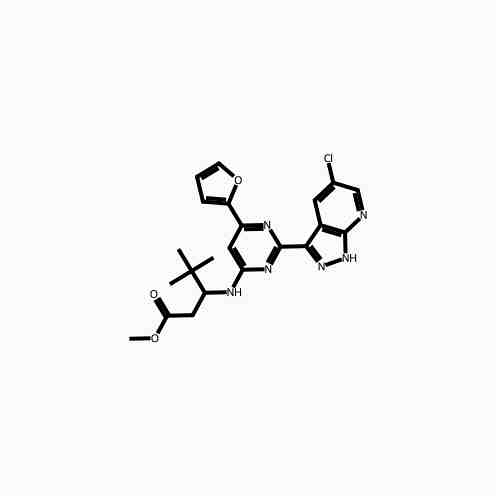 COC(=O)CC(Nc1cc(-c2ccco2)nc(-c2n[nH]c3ncc(Cl)cc23)n1)C(C)(C)C